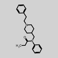 CCC(=O)N(CC1CCN(CCc2ccccc2)CC1)c1ccccc1